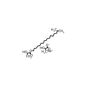 CC(C)CCCCCCCCCCCCCCCOC(=O)C(C)O.CC(O)C(=O)[O-].[Na+]